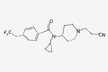 N#CCCN1CCC(N(C(=O)c2ccc(CC(F)(F)F)cc2)C2CC2)CC1